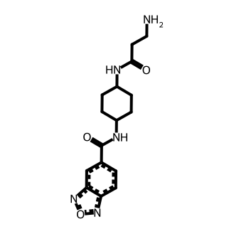 NCCC(=O)NC1CCC(NC(=O)c2ccc3nonc3c2)CC1